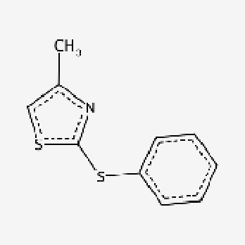 Cc1csc(Sc2ccccc2)n1